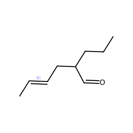 C/C=C/CC(C=O)CCC